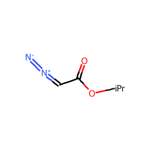 CC(C)OC(=O)C=[N+]=[N-]